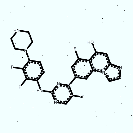 Oc1cc2nccn2c2cc(-c3nc(Nc4ccc(N5CCNCC5)c(F)c4F)ncc3F)cc(F)c12